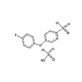 O=S(=O)(Cl)c1ccc(Oc2ccc(F)cc2)cc1.O=S(=O)(O)Cl